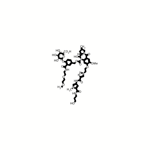 C=C1C[C@H]2C(O)N(C(=O)OCc3ccc(O[C@@H]4O[C@H](C(=O)O)[C@@H](O)[C@H](O)[C@H]4O)c(C(=O)NCCOCCON)c3)c3cc(OCCn4cc(C(=O)Nc5cc(C(=O)NCCCO)n(C)c5)nn4)c(OC)cc3C(=O)N2C1